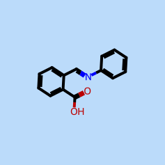 O=C(O)c1ccccc1C=Nc1ccccc1